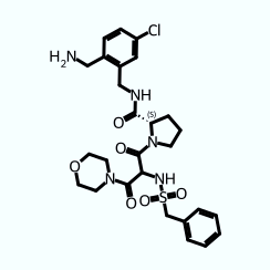 NCc1ccc(Cl)cc1CNC(=O)[C@@H]1CCCN1C(=O)C(NS(=O)(=O)Cc1ccccc1)C(=O)N1CCOCC1